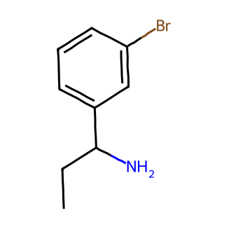 CCC(N)c1cccc(Br)c1